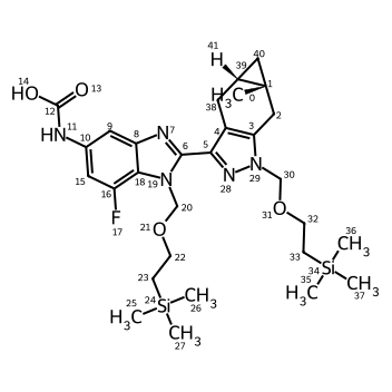 C[C@@]12Cc3c(c(-c4nc5cc(NC(=O)O)cc(F)c5n4COCC[Si](C)(C)C)nn3COCC[Si](C)(C)C)C[C@@H]1C2